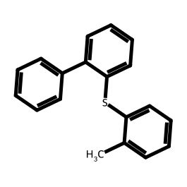 Cc1ccccc1Sc1ccccc1-c1ccccc1